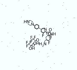 NCC(Cc1n[nH]c(=O)n1-c1ncc(-c2ccc(N3CCNCC3)cc2)cc1F)=C(F)F.O=C(O)C(F)(F)F.O=C(O)C(F)(F)F